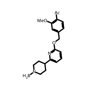 BN1CCC(c2cccc(OCc3ccc(C(C)=O)c(OC)c3)n2)CC1